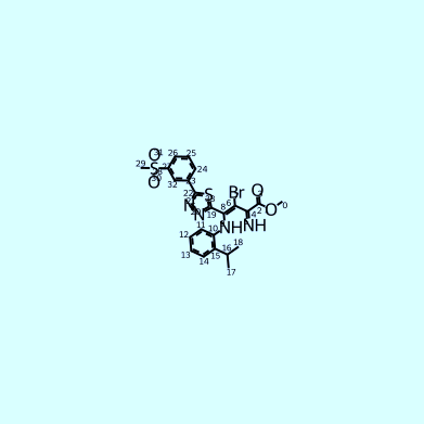 COC(=O)C(=N)/C(Br)=C(\Nc1ccccc1C(C)C)c1nnc(-c2cccc(S(C)(=O)=O)c2)s1